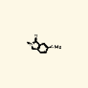 CNc1ccc2c(c1)C(=O)N(C)C2